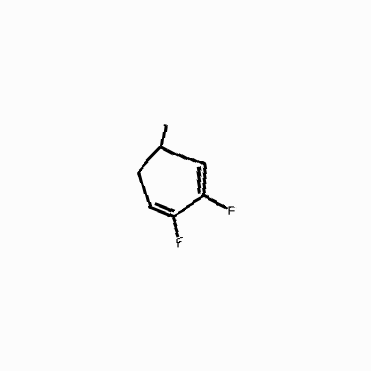 CC1C=C(F)C(F)=CC1